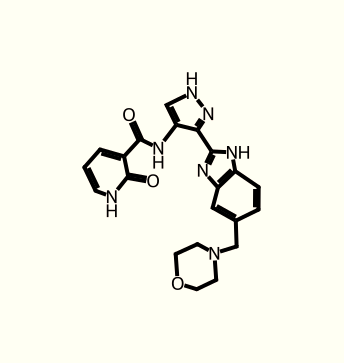 O=C(Nc1c[nH]nc1-c1nc2cc(CN3CCOCC3)ccc2[nH]1)c1ccc[nH]c1=O